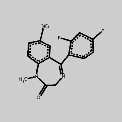 CN1C(=O)CN=C(c2ccc(F)cc2F)c2cc(N=O)ccc21